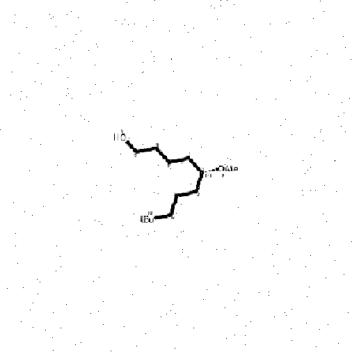 CO[C@@H](CCCCO)CCCC(C)(C)C